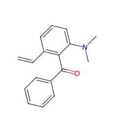 C=Cc1cccc(N(C)C)c1C(=O)c1ccccc1